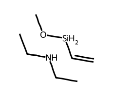 C=C[SiH2]OC.CCNCC